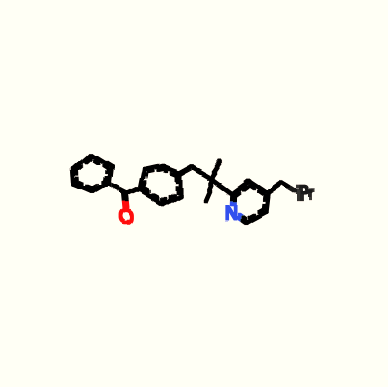 CC(C)Cc1ccnc(C(C)(C)Cc2ccc(C(=O)c3ccccc3)cc2)c1